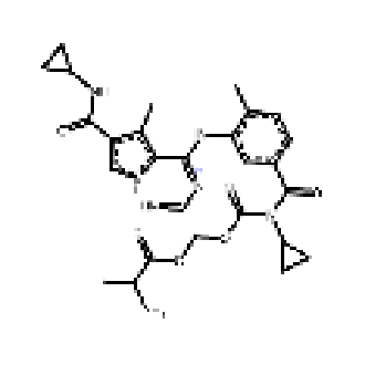 Cc1ccc(C(=O)N(C(=O)OCOC(=O)C(C)N)C2CC2)cc1N/C(=N/C=N)c1[nH]cc(C(=O)NC2CC2)c1C